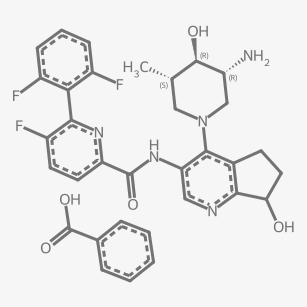 C[C@H]1CN(c2c(NC(=O)c3ccc(F)c(-c4c(F)cccc4F)n3)cnc3c2CCC3O)C[C@@H](N)[C@@H]1O.O=C(O)c1ccccc1